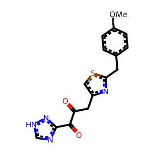 COc1ccc(Cc2nc(CC(=O)C(=O)c3nc[nH]n3)cs2)cc1